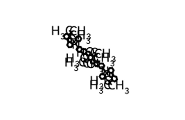 CC(C)(C)c1cccc2c1oc1c(N(c3ccccc3)c3ccc4cc5c(cc4c3)oc3c(C(C)(C)C)c4c(oc6cc7cc(N(c8ccccc8)c8cccc9c8oc8c(C(C)(C)C)cccc89)ccc7cc64)c(C(C)(C)C)c35)cccc12